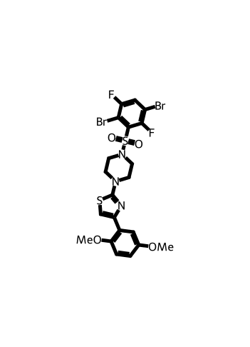 COc1ccc(OC)c(-c2csc(N3CCN(S(=O)(=O)c4c(F)c(Br)cc(F)c4Br)CC3)n2)c1